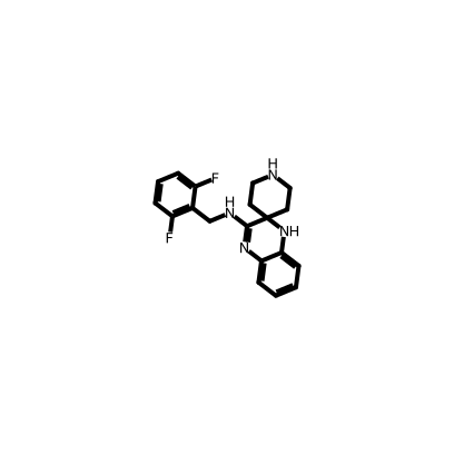 Fc1cccc(F)c1CNC1=Nc2ccccc2NC12CCNCC2